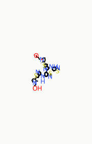 COCCCN1CCC[C@H](c2cc3c(Nc4ccc5scnc5c4)cc(-c4cc(Nc5ccnc6sc(C7CCCN(CCO)C7C)cc56)cc5ncsc45)nc3s2)[C@@H]1C